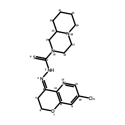 S=C(N/N=C1/CCOc2cc(Cl)cnc21)N1CCN2CCCCC2C1